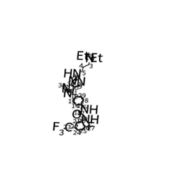 CCN(CC)CCCNc1ncc2c(-c3ccc(NC(=O)Nc4cc(C(F)(F)F)ccc4F)cc3)nn(C)c2n1